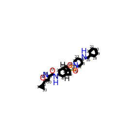 O=C(N[C@@H]1C[C@@H]2CC3(S(=O)(=O)N4CCC(NCc5ccccc5)CC4)C[C@H](C1)C23)c1cc(C2CC2)on1